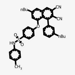 CCCCc1cccc(-c2c(C#N)c(C#N)cc3cc(CCCC)cc(Oc4ccc(S(=O)(=O)Nc5ccc(C)cc5)cc4)c23)c1